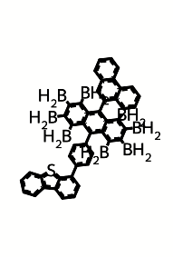 Bc1c(B)c(B)c2c(-c3cc4ccccc4c4ccccc34)c3c(B)c(B)c(B)c(B)c3c(-c3ccc(-c4cccc5c4sc4ccccc45)cc3)c2c1B